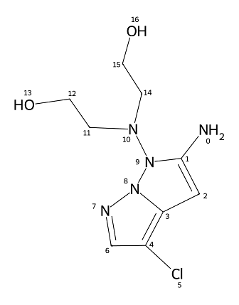 Nc1cc2c(Cl)cnn2n1N(CCO)CCO